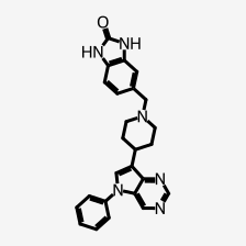 O=c1[nH]c2ccc(CN3CCC(c4cn(-c5ccccc5)c5cncnc45)CC3)cc2[nH]1